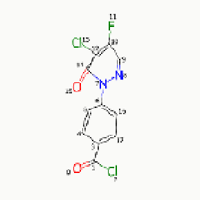 O=C(Cl)c1ccc(-n2ncc(F)c(Cl)c2=O)cc1